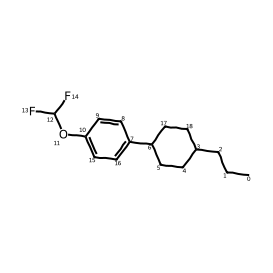 CCCC1CCC(c2ccc(OC(F)F)cc2)CC1